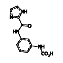 O=C(O)Nc1cccc(NC(=O)c2ncc[nH]2)c1